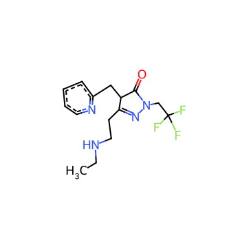 CCNCCC1=NN(CC(F)(F)F)C(=O)C1Cc1ccccn1